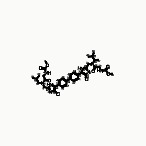 COC(=O)NCC(=O)N(Cc1nc(Cl)c(-c2ccc(-c3ccc(-c4[nH]c(CN(C(=O)CNC(=O)OC)C(C)C(C)C)nc4Cl)cc3)cc2)[nH]1)CC(C)C